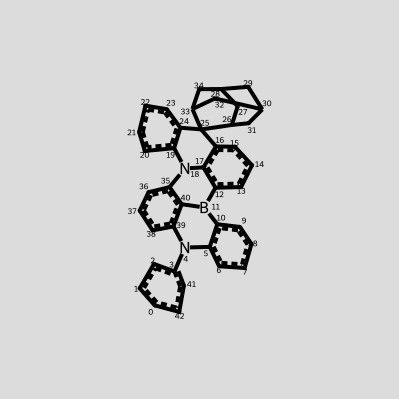 c1ccc(N2c3ccccc3B3c4cccc5c4N(c4ccccc4C54C5CC6CC(C5)CC4C6)c4cccc2c43)cc1